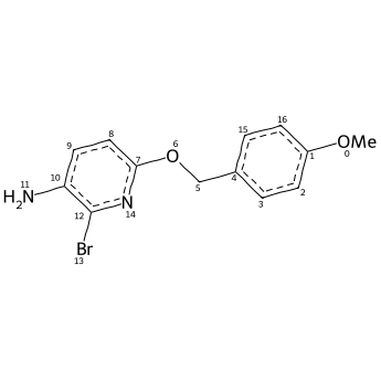 COc1ccc(COc2ccc(N)c(Br)n2)cc1